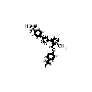 Cn1ncc(-c2noc(-c3ccc(S(=O)(=O)O)cc3)n2)c1COc1ccc(C(F)(F)F)cc1